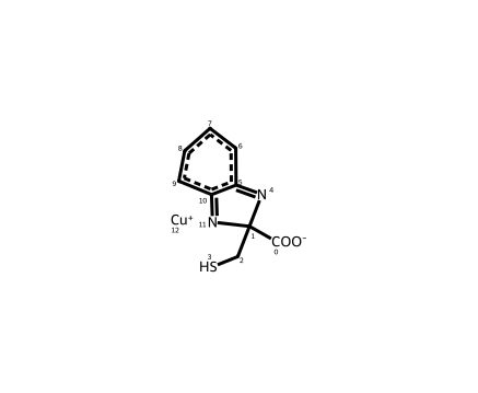 O=C([O-])C1(CS)N=c2ccccc2=N1.[Cu+]